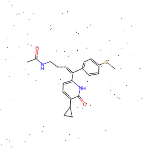 CSc1ccc(C(=CCCNC(C)=O)c2ccc(C3CC3)c(=O)[nH]2)cc1